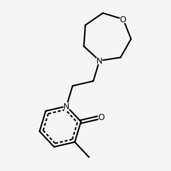 Cc1cccn(CCN2CCCOCC2)c1=O